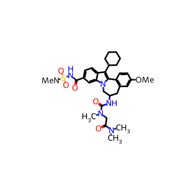 CNS(=O)(=O)NC(=O)c1ccc2c(C3CCCCC3)c3n(c2c1)CC(NC(=O)N(C)CC(=O)N(C)C)Cc1cc(OC)ccc1-3